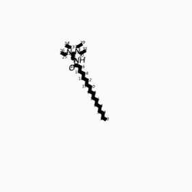 CCCCCCCCCCCCCCCCCC(=O)NCC(N(CC)CC)N(CC)CC